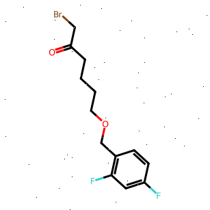 O=C(CBr)CCCCOCc1ccc(F)cc1F